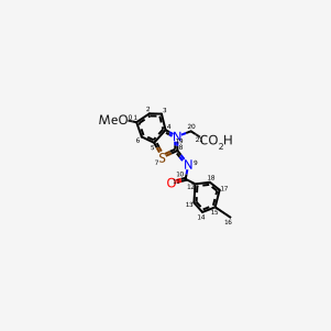 COc1ccc2c(c1)s/c(=N\C(=O)c1ccc(C)cc1)n2CC(=O)O